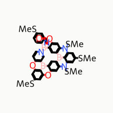 CSc1cc2c3c(c1)Oc1cc4c(cc1B3c1cnccc1O2)B1c2cc3c(cc2N(SC)c2cc(SC)cc(c21)N4SC)Oc1cc(SC)cc2c1B3c1cnccc1O2